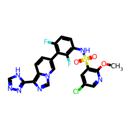 COc1ncc(Cl)cc1S(=O)(=O)Nc1ccc(F)c(-c2ccc3c(-c4nnc[nH]4)ncn3c2)c1F